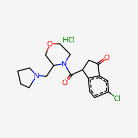 Cl.O=C1CC(C(=O)N2CCOCC2CN2CCCC2)c2ccc(Cl)cc21